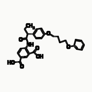 CCC(C(=O)Nc1ccc(C(=O)O)cc1C(=O)O)c1ccc(OCCCCOc2ccccc2)cc1